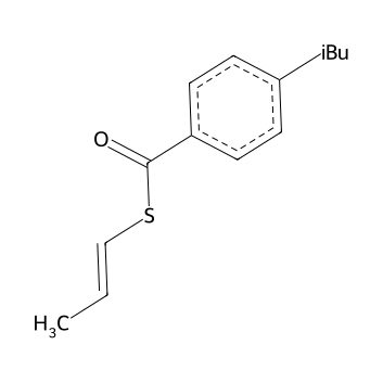 C/C=C/SC(=O)c1ccc(C(C)CC)cc1